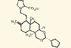 C=C1CCC2[C@]3(C)CO[C@@H](C4CCCC4)O[C@@H]3CC[C@@]2(C)[C@@H]1CCN1CCCC1C(=O)O